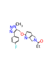 CCC(=O)N1Cc2ccc(OCc3c(-c4ccc(F)cc4)nnn3C)nc2C1